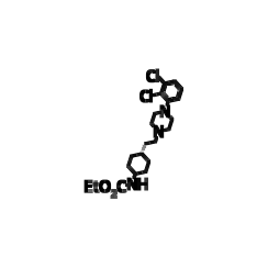 CCOC(=O)N[C@H]1CC[C@H](CCN2CCN(c3cccc(Cl)c3Cl)CC2)CC1